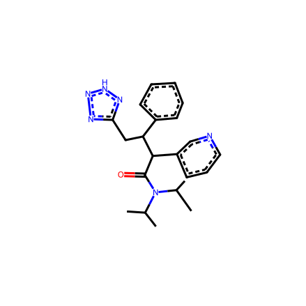 CC(C)N(C(=O)C(c1cccnc1)C(Cc1nn[nH]n1)c1ccccc1)C(C)C